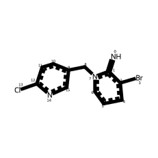 N=c1c(Br)cccn1Cc1ccc(Cl)nc1